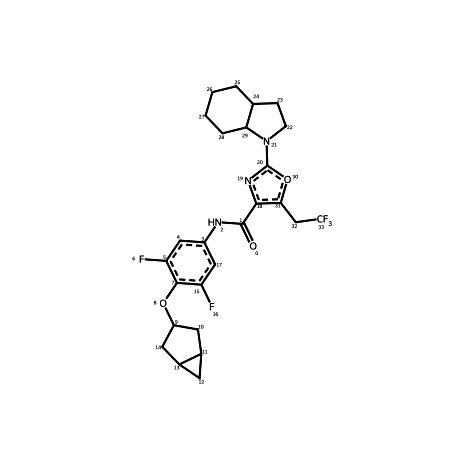 O=C(Nc1cc(F)c(OC2CC3CC3C2)c(F)c1)c1nc(N2CCC3CCCCC32)oc1CC(F)(F)F